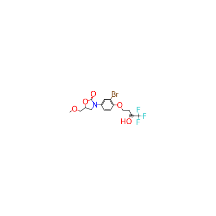 COCC1CN(c2ccc(OCC[C@@H](O)C(F)(F)F)c(Br)c2)C(=O)O1